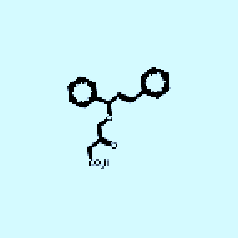 O=C(O)CC(=O)CSC(C=Cc1ccccc1)c1ccccc1